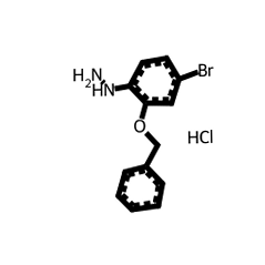 Cl.NNc1ccc(Br)cc1OCc1ccccc1